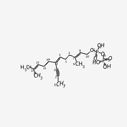 CC#C/C(=C\CC/C(C)=C/COP(=O)(O)OP(=O)(O)O)CCC=C(C)C